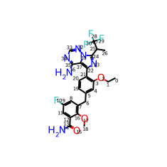 CCOc1cc(Cc2cc(F)cc(C(N)=O)c2OC)ccc1-c1nc(C(C)C(F)(F)F)n2ncnc(N)c12